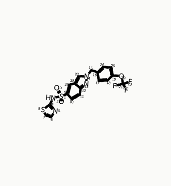 O=S(=O)(Nc1nccs1)c1ccc2nn(Cc3ccc(OC(F)(F)F)cc3)cc2c1